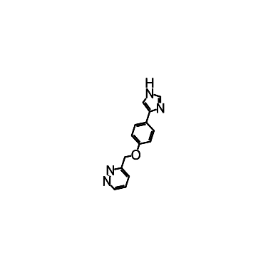 c1cnnc(COc2ccc(-c3c[nH]cn3)cc2)c1